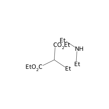 CCNCC.CCOC(=O)C(CC)C(=O)OCC